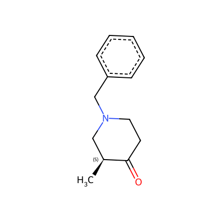 C[C@H]1CN(Cc2ccccc2)CCC1=O